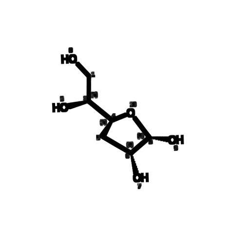 OC[C@H](O)[C@@H]1C[C@@H](O)[C@@H](O)O1